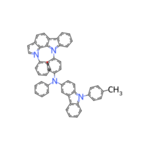 Cc1ccc(-n2c3ccccc3c3cc(N(c4ccccc4)c4ccc(-n5c6ccccc6c6ccc7ccn(-c8ccccc8)c7c65)cc4)ccc32)cc1